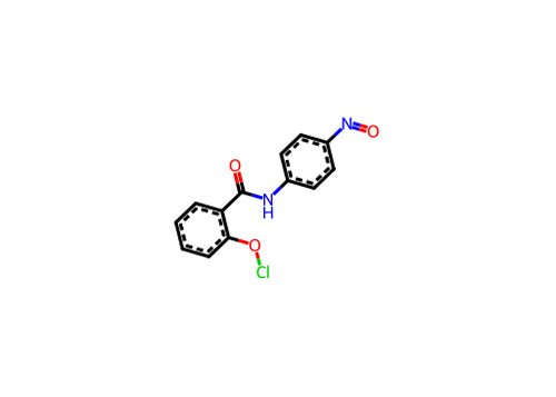 O=Nc1ccc(NC(=O)c2ccccc2OCl)cc1